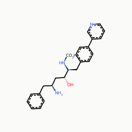 N[C@@H](Cc1ccccc1)C[C@@H](O)[C@H](Cc1ccc(-c2cccnc2)cc1)NC(=O)O